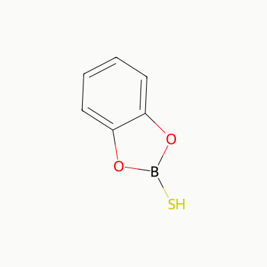 SB1Oc2ccccc2O1